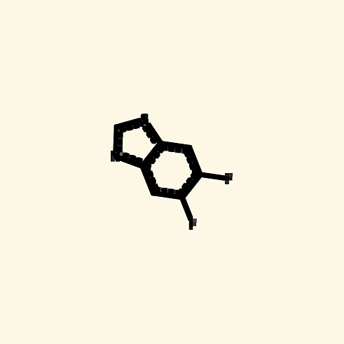 Fc1cc2ncsc2cc1F